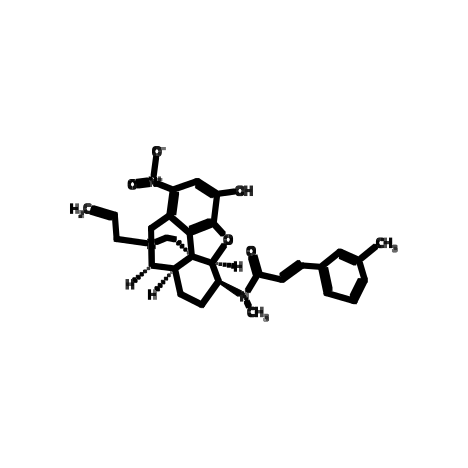 C=CCN1CC[C@]23c4c5c([N+](=O)[O-])cc(O)c4O[C@H]2[C@@H](N(C)C(=O)C=Cc2cccc(C)c2)CC[C@H]3[C@H]1C5